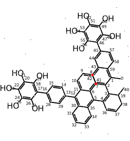 Cc1c(C2=C(c3c4ccccc4c(-c4ccc(-c5c(O)c(O)c(O)c(O)c5O)cc4)c4ccccc34)C=CCC2C)ccc2cc(-c3c(O)c(O)c(O)c(O)c3O)ccc12